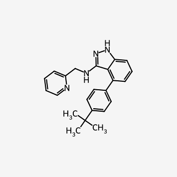 CC(C)(C)c1ccc(-c2cccc3[nH]nc(NCc4ccccn4)c23)cc1